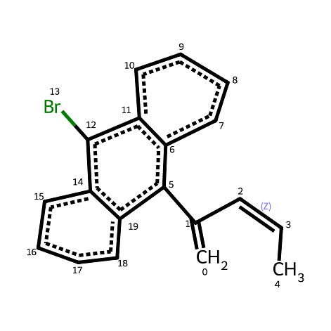 C=C(/C=C\C)c1c2ccccc2c(Br)c2ccccc12